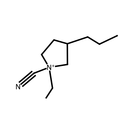 CCCC1CC[N+](C#N)(CC)C1